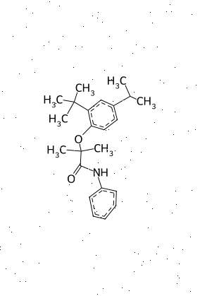 CC(C)c1ccc(OC(C)(C)C(=O)Nc2ccccc2)c(C(C)(C)C)c1